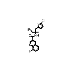 CC(C)CC(C)(Cc1ccc(Cl)s1)NC(=O)c1cnc2c(F)cccc2c1